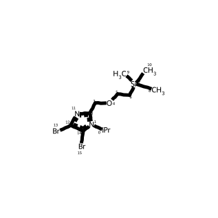 CC(C)n1c(COCC[Si](C)(C)C)nc(Br)c1Br